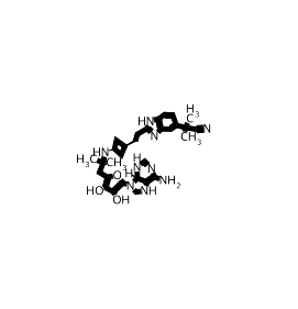 CC(C)(Cc1oc(N2CNC3=C(N)N=CN[C@@H]32)c(O)c1O)N[C@H]1C[C@H](CCc2nc3cc(C(C)(C)C#N)ccc3[nH]2)C1